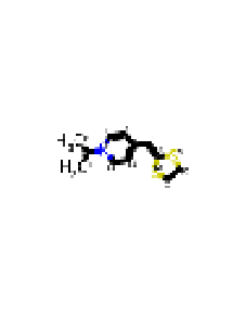 CC(C)[n+]1ccc(C=C2SCCS2)cc1